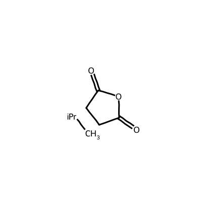 CC(C)C.O=C1CCC(=O)O1